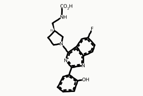 O=C(O)NC[C@@H]1CCN(c2nc(-c3ccccc3O)nc3ccc(F)cc23)C1